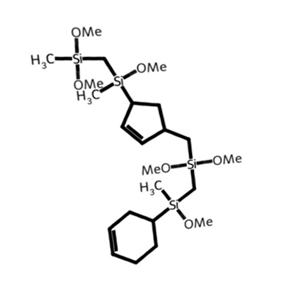 CO[Si](C)(C[Si](C)(OC)C1C=CC(C[Si](C[Si](C)(OC)C2CC=CCC2)(OC)OC)C1)OC